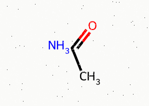 C[C]=O.N